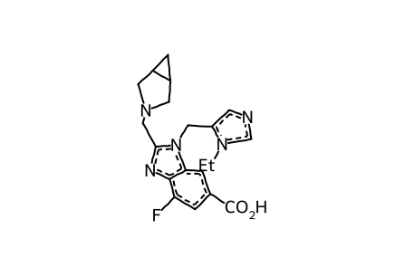 CCn1cncc1Cn1c(CN2CC3CC3C2)nc2c(F)cc(C(=O)O)cc21